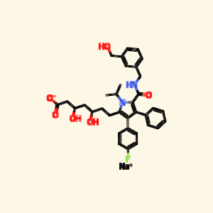 CC(C)n1c(CC[C@@H](O)C[C@@H](O)CC(=O)[O-])c(-c2ccc(F)cc2)c(-c2ccccc2)c1C(=O)NCc1cccc(CO)c1.[Na+]